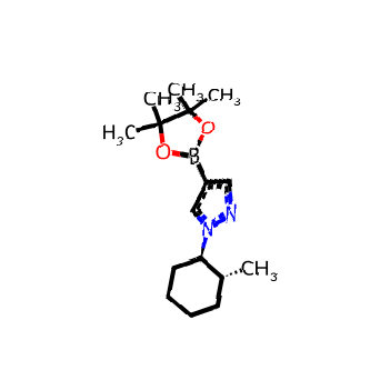 C[C@@H]1CCCC[C@H]1n1cc(B2OC(C)(C)C(C)(C)O2)cn1